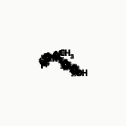 CCn1cc(-c2cccc(C(F)(F)F)c2)nc1/C=C/c1ccc(-c2ccc(O)cc2)cc1